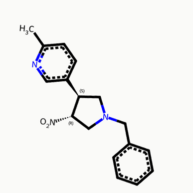 Cc1ccc([C@H]2CN(Cc3ccccc3)C[C@@H]2[N+](=O)[O-])cn1